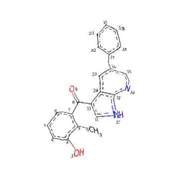 Cc1c(O)cccc1C(=O)c1c[nH]c2ncc(-c3ccccc3)cc12